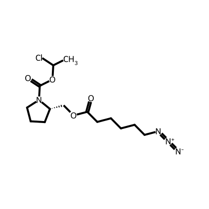 CC(Cl)OC(=O)N1CCC[C@H]1COC(=O)CCCCCN=[N+]=[N-]